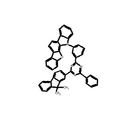 CC1(C)c2ccccc2-c2ccc(-c3nc(-c4ccccc4)nc(-c4cccc(-n5c6ccccc6c6ccc7c8ccccc8oc7c65)c4)n3)cc21